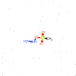 CS(=O)(=O)ONN